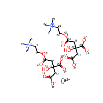 C[N+](C)(C)CCOC(=O)CC(O)(CC(=O)[O-])C(=O)[O-].C[N+](C)(C)CCOC(=O)CC(O)(CC(=O)[O-])C(=O)[O-].[Fe+2]